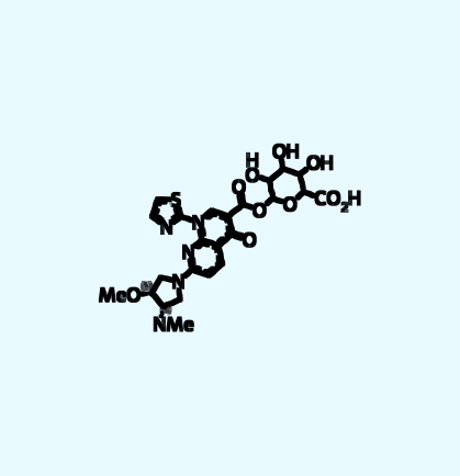 CN[C@H]1CN(c2ccc3c(=O)c(C(=O)OC4OC(C(=O)O)C(O)C(O)C4O)cn(-c4nccs4)c3n2)C[C@@H]1OC